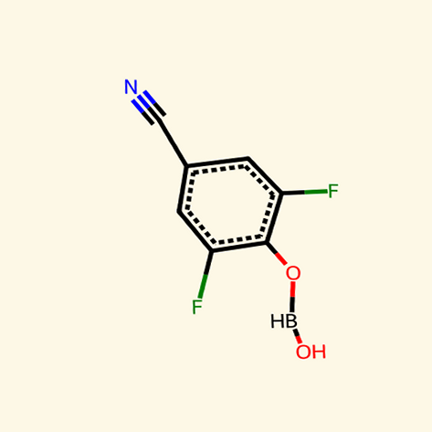 N#Cc1cc(F)c(OBO)c(F)c1